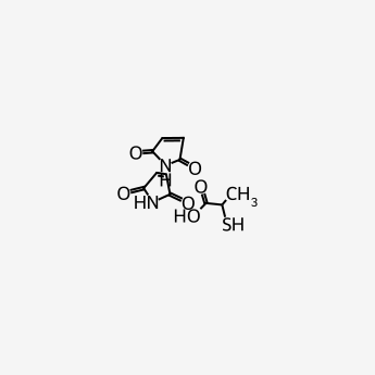 CC(S)C(=O)O.O=C1C=CC(=O)N1.O=C1C=CC(=O)N1